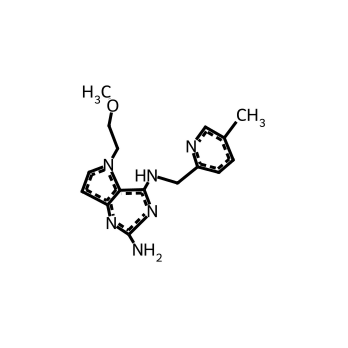 COCCn1ccc2nc(N)nc(NCc3ccc(C)cn3)c21